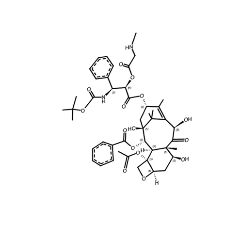 CNCC(=O)O[C@@H](C(=O)O[C@H]1C[C@@]2(O)[C@@H](OC(=O)c3ccccc3)[C@@H]3[C@]4(OC(C)=O)CO[C@@H]4C[C@H](O)[C@@]3(C)C(=O)[C@H](O)C(=C1C)C2(C)C)[C@@H](NC(=O)OC(C)(C)C)c1ccccc1